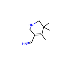 CC1=C(C=N)CNCC1(C)C